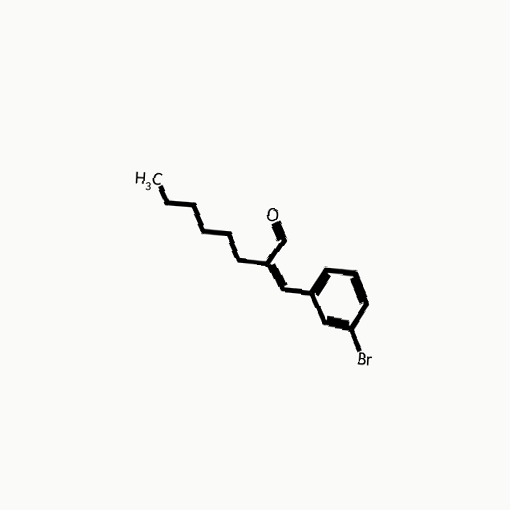 CCCCCCC(C=O)=Cc1cccc(Br)c1